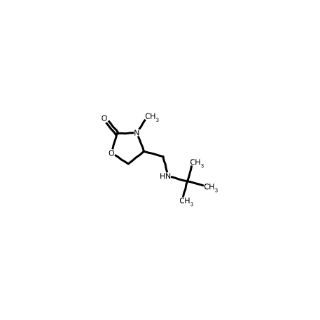 CN1C(=O)OCC1CNC(C)(C)C